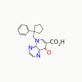 O=C(O)c1cn(CC2(c3ccccc3)CCCC2)c2nccnc2c1=O